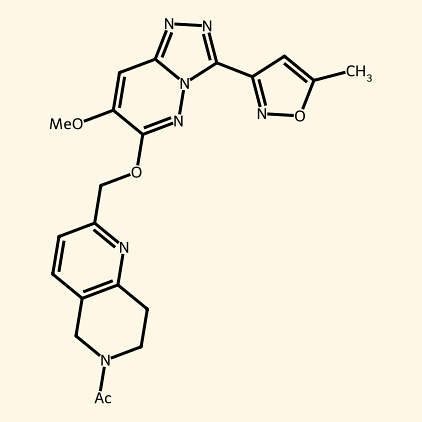 COc1cc2nnc(-c3cc(C)on3)n2nc1OCc1ccc2c(n1)CCN(C(C)=O)C2